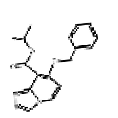 CC(C)OC(=O)c1c(OCc2ccccc2)ccn2cnnc12